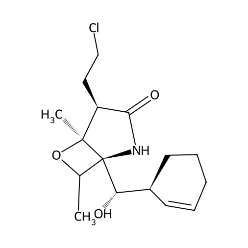 CC1O[C@@]2(C)[C@@H](CCCl)C(=O)N[C@@]12[C@@H](O)[C@@H]1C=CCCC1